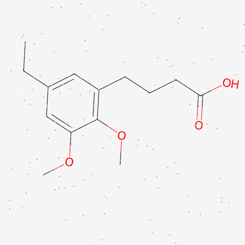 CCc1cc(CCCC(=O)O)c(OC)c(OC)c1